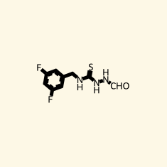 O=CNNC(=S)NCc1cc(F)cc(F)c1